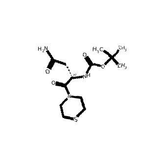 CC(C)(C)OC(=O)N[C@@H](CC(N)=O)C(=O)N1CCSCC1